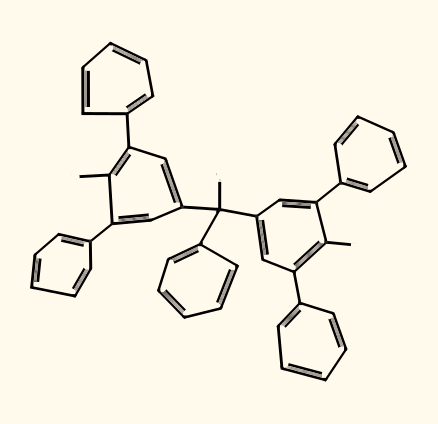 CC(c1ccccc1)(c1cc(-c2ccccc2)c(S)c(-c2ccccc2)c1)c1cc(-c2ccccc2)c(S)c(-c2ccccc2)c1